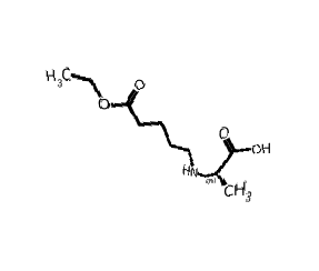 CCOC(=O)CCCCN[C@H](C)C(=O)O